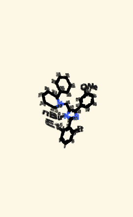 CCCCn1c(-c2c(CC)cccc2CC)nc(-c2cccc(OC)c2)c1CN1CCCCC1C1CCCCC1